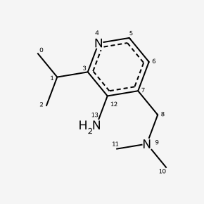 CC(C)c1nccc(CN(C)C)c1N